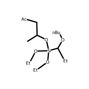 CCCCOC(CC)[Si](OCC)(OCC)OC(C)CC(C)=O